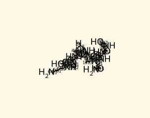 CC(C)C[C@@H](NC(=O)CNC(=O)[C@@H](CC(C)C)NC(=O)[C@@H](CCC(N)=O)NC(=O)CNC(=O)[C@H]1C[C@@H](O)CN1)C(=O)N[C@H](C)C(=O)NCC(=O)N1CCC[C@@H]1C(=O)N[C@H](CCCCCN)C(=O)O